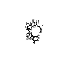 C[C@@H]1CCCC2CCC(F)CC2[C@H]2CCON2C2CCC3NCCC(N1)C3N2